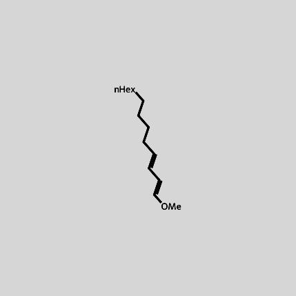 [CH2]O/C=C/C=C/CCCCCCCCCC